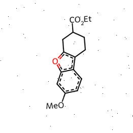 CCOC(=O)C1CCc2c(oc3cc(OC)ccc23)C1